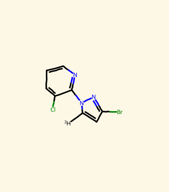 [2H]c1cc(Br)nn1-c1ncccc1Cl